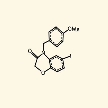 COc1ccc(CN2C(=O)COc3ccc(I)cc32)cc1